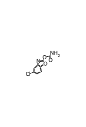 NC(=O)Oc1nc2cc(Cl)ccc2o1